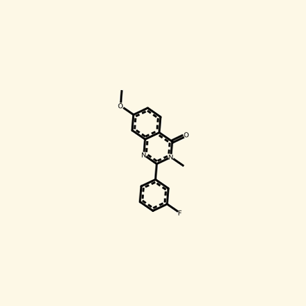 COc1ccc2c(=O)n(C)c(-c3cccc(F)c3)nc2c1